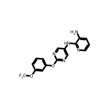 Nc1cccnc1Nc1cnc(Oc2cccc(OC(F)(F)F)c2)nc1